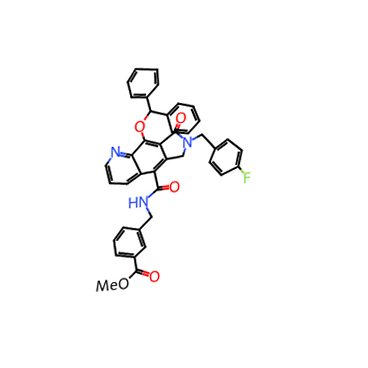 COC(=O)c1cccc(CNC(=O)c2c3c(c(OC(c4ccccc4)c4ccccc4)c4ncccc24)C(=O)N(Cc2ccc(F)cc2)C3)c1